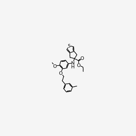 CCOC(=O)C1(Nc2ccc(OC)c(OCCc3cccc(C)c3)c2)Cc2cscc2C1